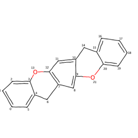 c1ccc2c(c1)Cc1cc3c(cc1O2)Cc1ccccc1O3